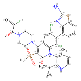 C=C(F)C(=O)N1CCN(c2c(S(C)(=O)=O)c(=O)n(-c3c(C)ccnc3C(C)C)c3c(F)c(-c4cccc5sc(N)nc45)c(Cl)cc23)CC1